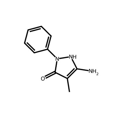 Cc1c(N)[nH]n(-c2ccccc2)c1=O